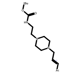 CC(=O)/C=C/CN1CCN(CCNC(=O)OC(C)(C)C)CC1